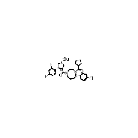 CC(C)(C)N1C[C@@H](C(=O)N2CCC[C@@H](c3ccc(Cl)cc3)N(C(=O)C3CCCC3)CC2)[C@H](c2ccc(F)cc2F)C1